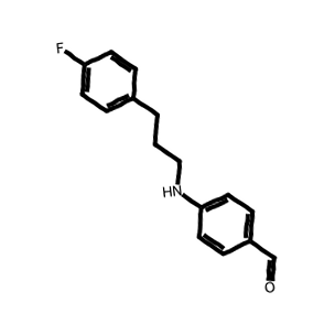 O=Cc1ccc(NCCCc2ccc(F)cc2)cc1